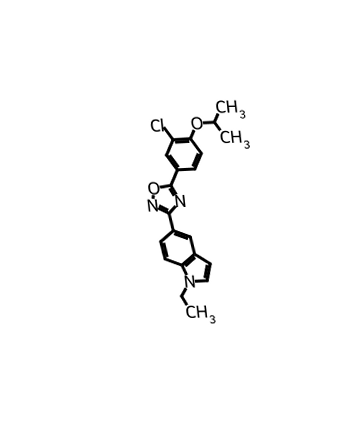 CCn1ccc2cc(-c3noc(-c4ccc(OC(C)C)c(Cl)c4)n3)ccc21